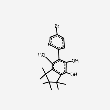 CC1(C)c2c(O)c(O)c(-c3ccc(Br)cn3)c(O)c2C(C)(C)C1(C)C